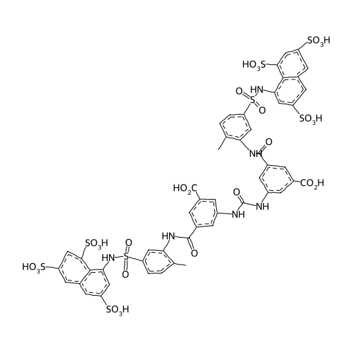 Cc1ccc(S(=O)(=O)Nc2cc(S(=O)(=O)O)cc3cc(S(=O)(=O)O)cc(S(=O)(=O)O)c23)cc1NC(=O)c1cc(NC(=O)Nc2cc(C(=O)O)cc(C(=O)Nc3cc(S(=O)(=O)Nc4cc(S(=O)(=O)O)cc5cc(S(=O)(=O)O)cc(S(=O)(=O)O)c45)ccc3C)c2)cc(C(=O)O)c1